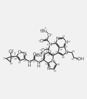 CC(C)(C)OC(=O)N(C(=O)OC(C)(C)C)c1ncnc2c1c(-c1ccc(NC(=O)Nc3cc(C4(C(F)(F)F)CC4)on3)c3nccn13)cn2CCO